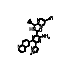 Cn1ccc(-c2nc(N)c(C(=O)NC(c3ncc(C#N)cn3)C3CC3)nc2-c2ccc3ncccc3c2)n1